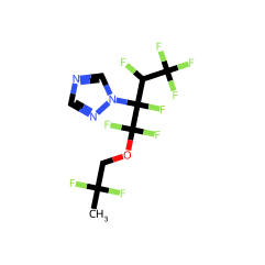 CC(F)(F)COC(F)(F)C(F)(C(F)C(F)(F)F)n1cncn1